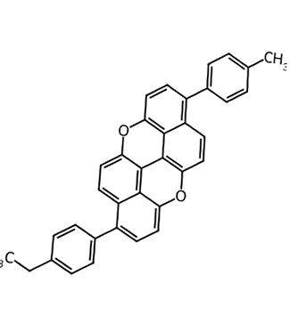 CCc1ccc(-c2ccc3oc4ccc5c(-c6ccc(C)cc6)ccc6oc7ccc2c3c7-c4c65)cc1